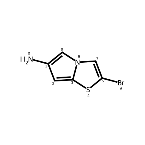 Nc1cc2sc(Br)cn2c1